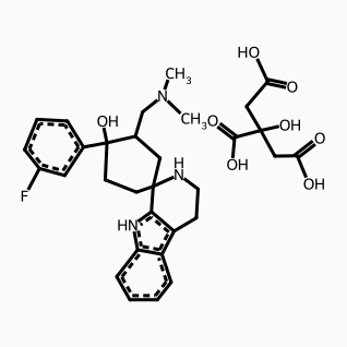 CN(C)CC1CC2(CCC1(O)c1cccc(F)c1)NCCc1c2[nH]c2ccccc12.O=C(O)CC(O)(CC(=O)O)C(=O)O